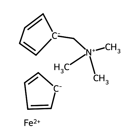 C[N+](C)(C)C[c-]1cccc1.[Fe+2].c1cc[cH-]c1